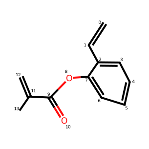 C=Cc1ccccc1OC(=O)C(=C)C